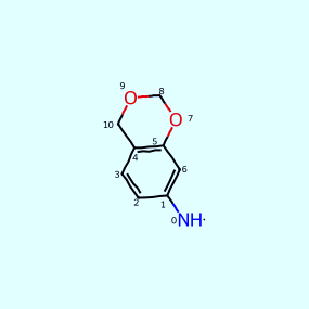 [NH]c1ccc2c(c1)OCOC2